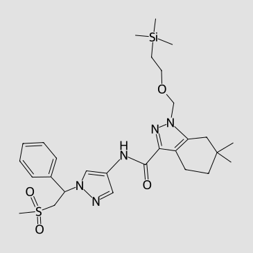 CC1(C)CCc2c(C(=O)Nc3cnn(C(CS(C)(=O)=O)c4ccccc4)c3)nn(COCC[Si](C)(C)C)c2C1